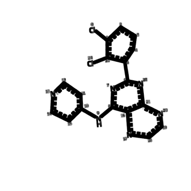 Clc1cccc(-c2nc(Nc3ccncc3)c3nccnc3n2)c1Cl